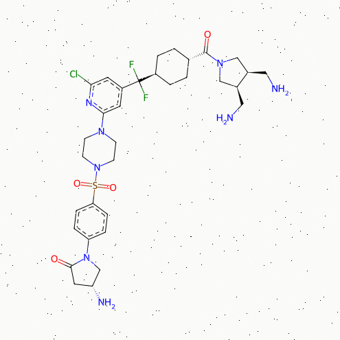 NC[C@@H]1CN(C(=O)[C@H]2CC[C@H](C(F)(F)c3cc(Cl)nc(N4CCN(S(=O)(=O)c5ccc(N6C[C@H](N)CC6=O)cc5)CC4)c3)CC2)C[C@@H]1CN